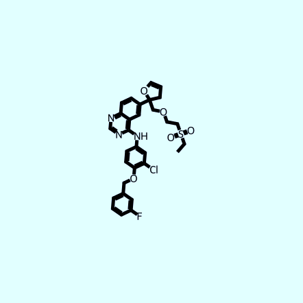 CCS(=O)(=O)CCOCC1(c2ccc3ncnc(Nc4ccc(OCc5cccc(F)c5)c(Cl)c4)c3c2)CC=CO1